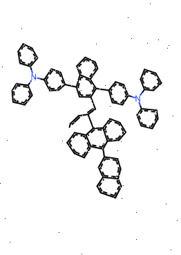 C/C=C\C(=C/c1cc(-c2ccc(N(c3ccccc3)c3ccccc3)cc2)c2ccccc2c1-c1ccc(N(c2ccccc2)c2ccccc2)cc1)c1c2ccccc2c(-c2ccc3ccccc3c2)c2ccccc12